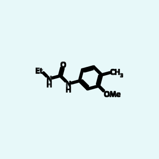 CCNC(=O)Nc1ccc(C)c(OC)c1